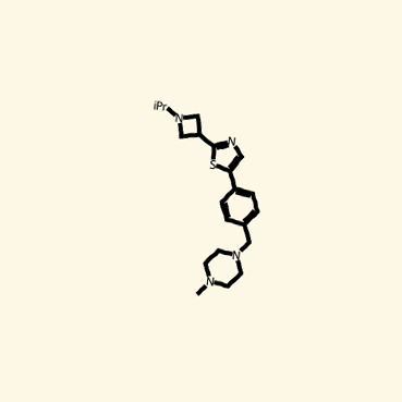 CC(C)N1CC(c2ncc(-c3ccc(CN4CCN(C)CC4)cc3)s2)C1